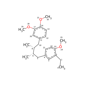 CCc1cc(C[C@H](C)[C@H](C)Cc2ccc(OC)c(OC)c2)ccc1OC